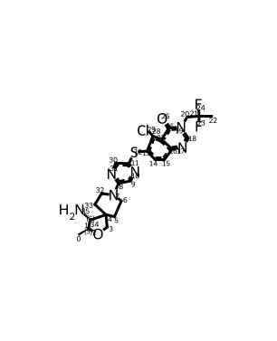 C[C@@H]1OCC2(CCN(c3cnc(Sc4ccc5ncn(CC(C)(F)F)c(=O)c5c4Cl)cn3)CC2)[C@@H]1N